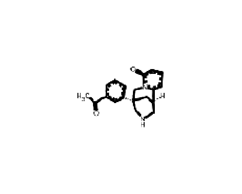 CC(=O)c1cccc([C@@]23CNC[C@@H](C2)c2cccc(=O)n2C3)c1